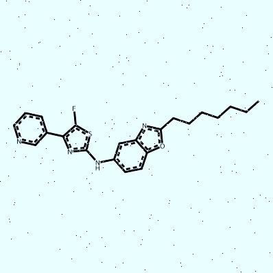 CCCCCCCc1nc2cc(Nc3nc(-c4cccnc4)c(F)s3)ccc2o1